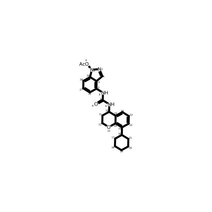 CC(=O)On1ncc2c(NC(=O)NC3CCOc4c(C5CCCCC5)cccc43)cccc21